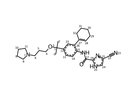 CC(C)(OCCCN1CCCC1)c1ccc(NC(=O)c2nc(C#N)c[nH]2)c(C2=CCCCC2)c1